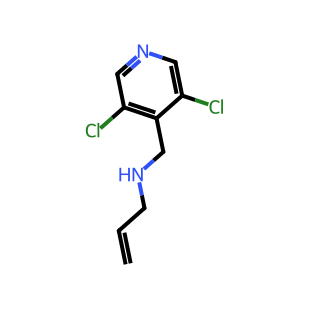 C=CCNCc1c(Cl)cncc1Cl